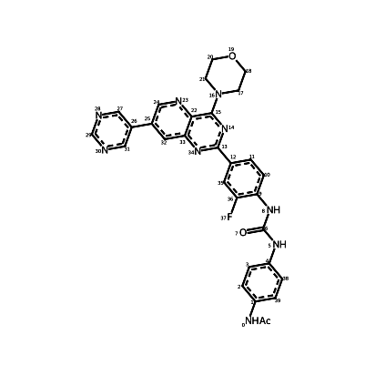 CC(=O)Nc1ccc(NC(=O)Nc2ccc(-c3nc(N4CCOCC4)c4ncc(-c5cncnc5)cc4n3)cc2F)cc1